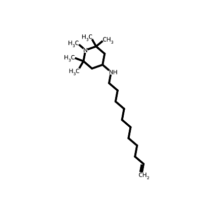 C=CCCCCCCCCCNC1CC(C)(C)N(C)C(C)(C)C1